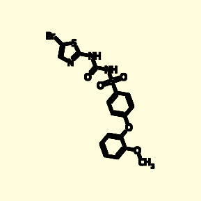 COc1ccccc1Oc1ccc(S(=O)(=O)NC(=O)Nc2ncc(Br)s2)cc1